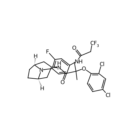 CC(C)(Oc1ccc(Cl)cc1Cl)C(=O)N[C@H]1C[C@H]2CC[C@@H](C1)N2c1ccc(NC(=O)CC(F)(F)F)cc1F